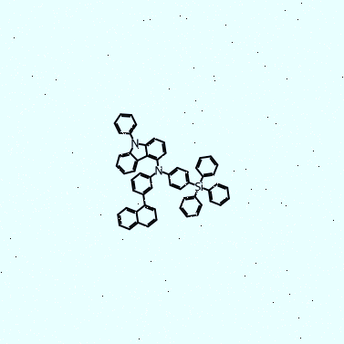 c1ccc(-n2c3ccccc3c3c(N(c4ccc([Si](c5ccccc5)(c5ccccc5)c5ccccc5)cc4)c4cccc(-c5cccc6ccccc56)c4)cccc32)cc1